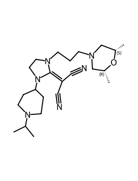 CC(C)N1CCC(N2CCN(CCCN3C[C@@H](C)O[C@@H](C)C3)C2=C(C#N)C#N)CC1